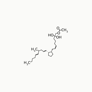 CCCC/C=C/[C@@H](C)C/C=C/[C@H]1CCC[C@@H]1C/C=C\CCCC(O)(O)COC(C)=O